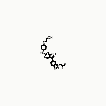 OCCOC1CCC(Nc2ncc3c(-c4ccc5nnn(CC(F)F)c5c4)c[nH]c3n2)CC1